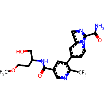 NC(=O)c1ncc2cc(-c3cc(C(=O)NC(CO)CCOC(F)(F)F)cnc3C(F)(F)F)ccn12